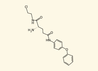 N[C@@H](CCC(=O)Nc1ccc(Oc2ccccc2)cc1)C(=O)NCCCl